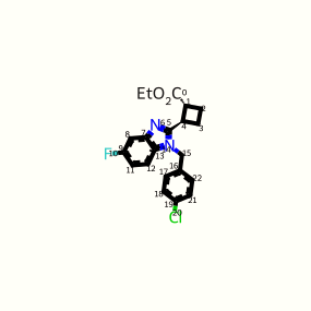 CCOC(=O)[C@@H]1CC[C@H]1c1nc2cc(F)ccc2n1Cc1ccc(Cl)cc1